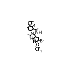 Cc1nc(N[C@H](C)c2cccc(C(F)(F)F)c2C)c2cc(Br)c(OCC(F)(F)F)nc2n1